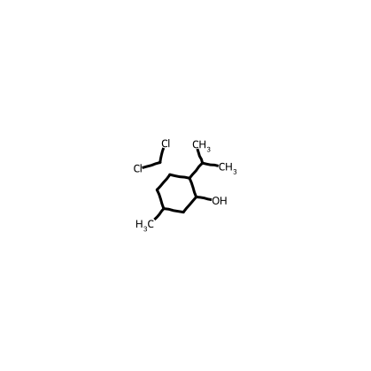 CC1CCC(C(C)C)C(O)C1.ClCCl